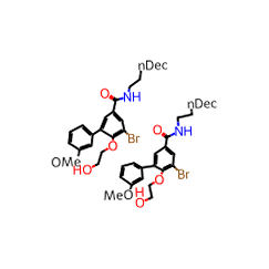 CCCCCCCCCCCCNC(=O)c1cc(Br)c(OCCO)c(-c2cccc(OC)c2)c1.CCCCCCCCCCCCNC(=O)c1cc(Br)c(OCCO)c(-c2cccc(OC)c2)c1